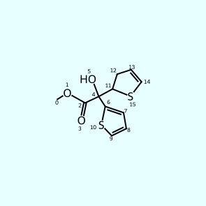 COC(=O)C(O)(c1cccs1)C1CC=CS1